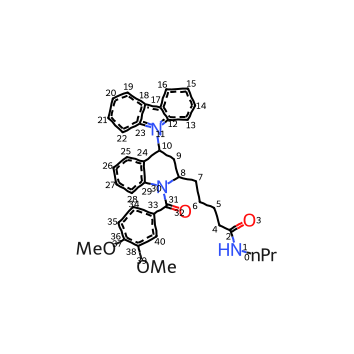 CCCNC(=O)CCCCC1CC(n2c3ccccc3c3ccccc32)c2ccccc2N1C(=O)c1ccc(OC)c(OC)c1